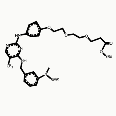 CSN(C)c1cccc(CNc2nc(Nc3ccc(OCCOCCOCCC(=O)OC(C)(C)C)cc3)ncc2C(F)(F)F)c1